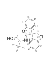 CC(C)(C)C(CO)NC(=O)C(CCl)(c1ccccc1)c1ccccc1